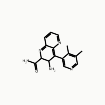 Cc1cncc(C2=c3ncccc3=NC(C(N)=O)C2N)c1C